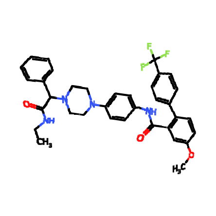 CCNC(=O)C(c1ccccc1)N1CCN(c2ccc(NC(=O)c3cc(OC)ccc3-c3ccc(C(F)(F)F)cc3)cc2)CC1